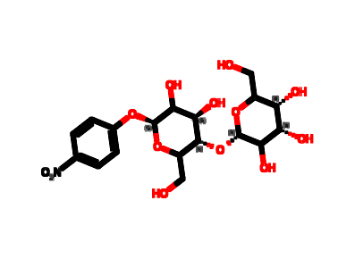 O=[N+]([O-])c1ccc(O[C@@H]2OC(CO)[C@@H](O[C@@H]3OC(CO)[C@H](O)[C@H](O)C3O)[C@H](O)C2O)cc1